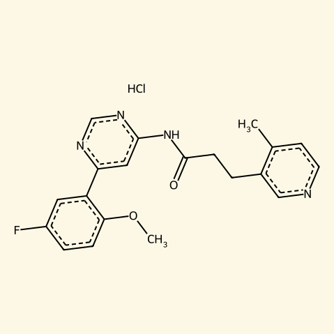 COc1ccc(F)cc1-c1cc(NC(=O)CCc2cnccc2C)ncn1.Cl